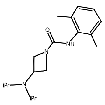 Cc1cccc(C)c1NC(=O)N1CC(N(C(C)C)C(C)C)C1